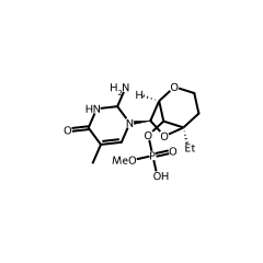 CC[C@@]12CCO[C@@H](C1OP(=O)(O)OC)[C@H](N1C=C(C)C(=O)NC1N)O2